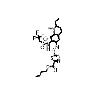 CCCCOC(=O)c1nnc(N=Nc2cc3c(cc2NS(=O)(=O)CC(F)(F)F)N(C)C(CC)CC3)s1